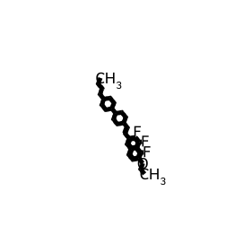 CCCCC1CCC(C2CCC(C=Cc3cc4ccc(OCC)c(F)c4c(F)c3F)CC2)CC1